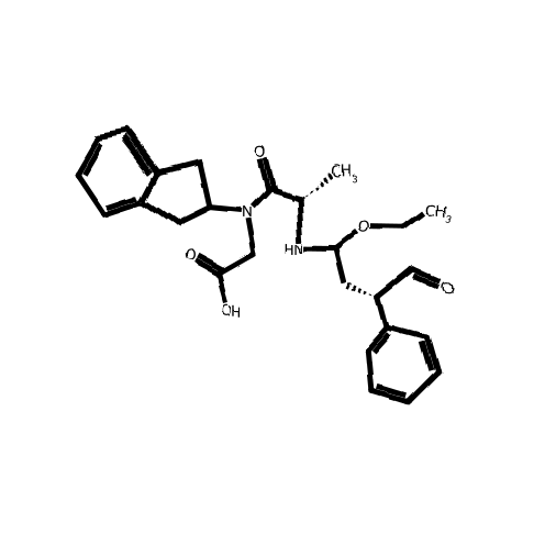 CCOC(C[C@H](C=O)c1ccccc1)N[C@@H](C)C(=O)N(CC(=O)O)C1Cc2ccccc2C1